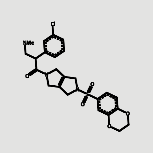 CNCC(C(=O)N1CC2=C(C1)CN(S(=O)(=O)c1ccc3c(c1)OCCO3)C2)c1cccc(Cl)c1